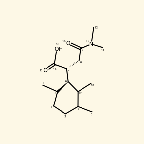 CC1CCC(C)[C@@H]([C@@H](CC(=O)N(C)C)C(=O)O)C1C